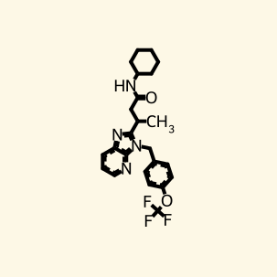 CC(CC(=O)NC1CCCCC1)c1nc2cccnc2n1Cc1ccc(OC(F)(F)F)cc1